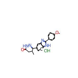 COc1ccc(-c2nc3cc(C4=NNC(=O)CC4C)ccc3[nH]2)cc1.Cl